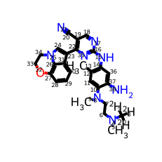 [2H]C([2H])([2H])N(C)CCN(C)c1cc(C)c(Nc2ncc(C#N)c(-c3cn4c5c(cccc35)OCC4)n2)cc1N